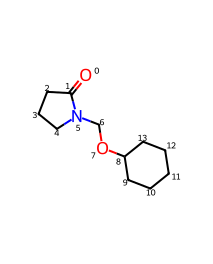 O=C1CCCN1COC1CCCCC1